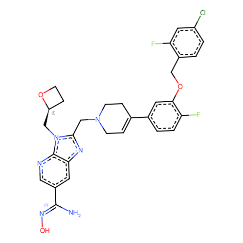 N/C(=N\O)c1cnc2c(c1)nc(CN1CC=C(c3ccc(F)c(OCc4ccc(Cl)cc4F)c3)CC1)n2C[C@@H]1CCO1